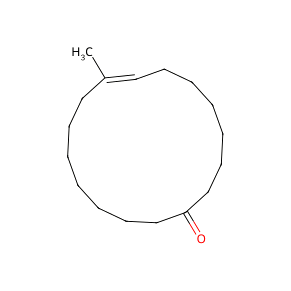 C/C1=C\CCCCCCC(=O)CCCCCCC1